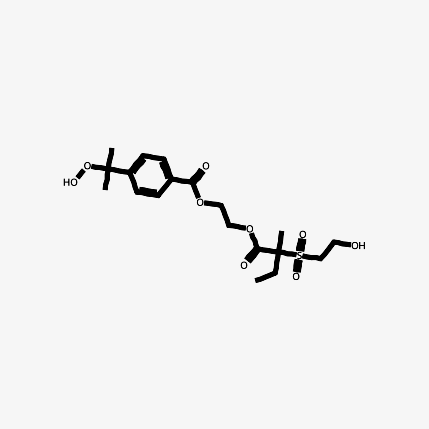 CCC(C)(C(=O)OCCOC(=O)c1ccc(C(C)(C)OO)cc1)S(=O)(=O)CCO